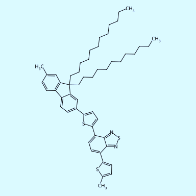 CCCCCCCCCCCCC1(CCCCCCCCCCCC)c2cc(C)ccc2-c2ccc(-c3ccc(-c4ccc(-c5ccc(C)s5)c5nsnc45)s3)cc21